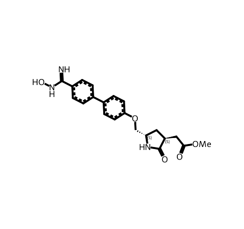 COC(=O)C[C@@H]1C[C@@H](COc2ccc(-c3ccc(C(=N)NO)cc3)cc2)NC1=O